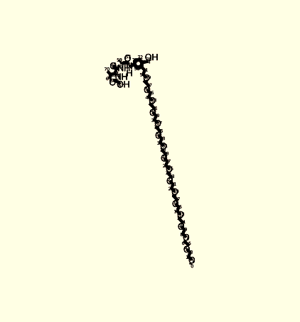 COCCOCCOCCOCCOCCOCCOCCOCCOCCOCCOCCOCCOCCOCCOCCOCCOCCc1cc(NC(=O)[C@H](C)NC(=O)[C@@H](NC(=O)O)C(C)C)ccc1CO